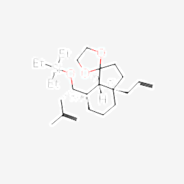 C=CC[C@@]12CCC[C@@H]([C@H](CC(=C)C)O[Si](CC)(CC)CC)[C@@H]1C1(CC2)OCCO1